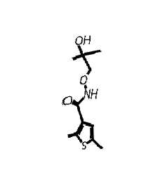 Cc1cc(C(=O)NOCC(C)(C)O)c(C)s1